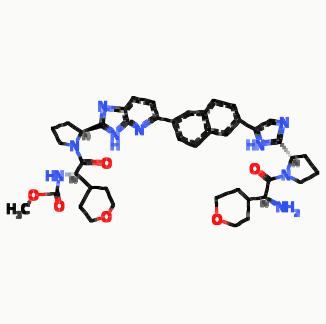 COC(=O)N[C@H](C(=O)N1CCC[C@H]1c1nc2ccc(-c3ccc4cc(-c5cnc([C@@H]6CCCN6C(=O)[C@@H](N)C6CCOCC6)[nH]5)ccc4c3)nc2[nH]1)C1CCOCC1